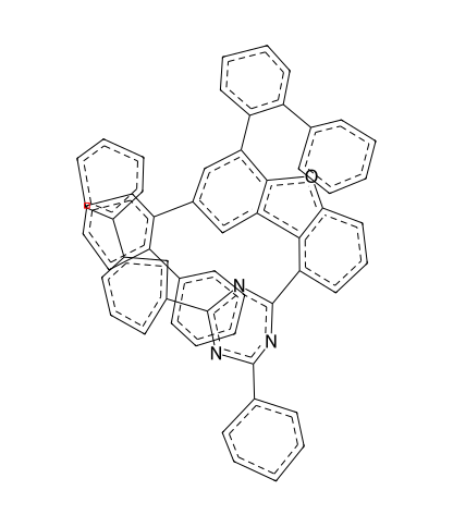 c1ccc(-c2cccc(-c3nc(-c4ccccc4)nc(-c4cccc5oc6c(-c7ccccc7-c7ccccc7)cc(-c7ccccc7-c7ccccc7)cc6c45)n3)c2)cc1